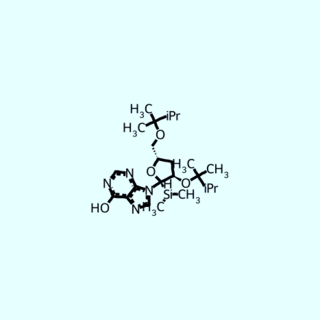 CC(C)C(C)(C)OC[C@@H]1C[C@@H](OC(C)(C)C(C)C)[C@@](n2cnc3c(O)ncnc32)([SiH](C)C)O1